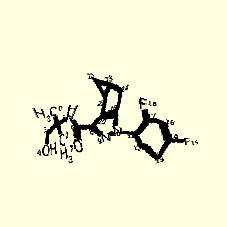 CC(C)(CO)NC(=O)c1nn(-c2ccc(F)cc2F)c2c1C1CC1C2